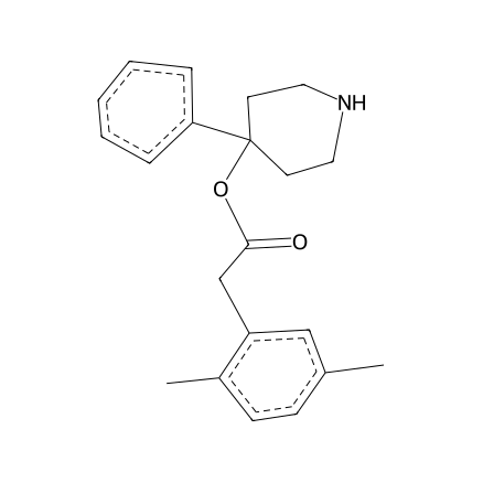 Cc1ccc(C)c(CC(=O)OC2(c3ccccc3)CCNCC2)c1